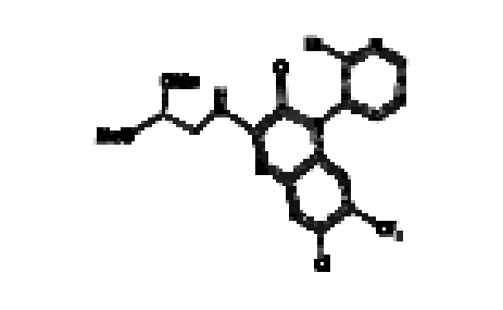 CCc1ncccc1-n1c(=O)c(NCC(OC)OC)nc2cc(Cl)c(C(F)(F)F)cc21